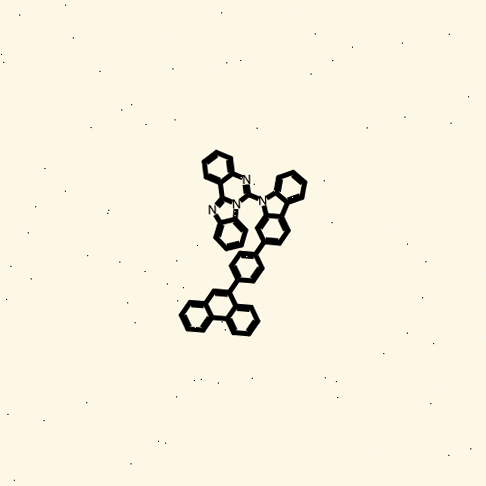 c1ccc2c(c1)cc(-c1ccc(-c3ccc4c5ccccc5n(-c5nc6ccccc6c6nc7ccccc7n56)c4c3)cc1)c1ccccc12